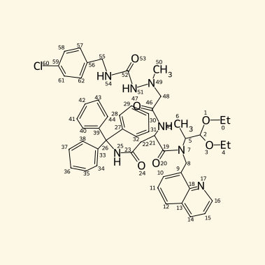 CCOC(OCC)C(C)N(Cc1cccc2cccnc12)C(=O)C(CC(=O)NC(c1ccccc1)(c1ccccc1)c1ccccc1)NC(=O)CN(C)NC(=O)NCc1ccc(Cl)cc1